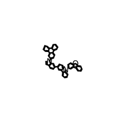 c1ccc2c(c1)oc1ccc(-n3c4ccccc4c4cc(-c5ccc6ccn(-c7ccc8c9ccccc9c9ccccc9c8c7)c6c5)ccc43)cc12